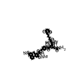 COc1ccc(N(C)c2cc(C#N)nc3ccccc23)cc1NC(=O)OCc1ccc(NC(=O)[C@H](CCCNC(N)=O)NC(=O)[C@@H](NC(=O)CCCCCN2C(=O)C=CC2=O)C(C)C)cc1